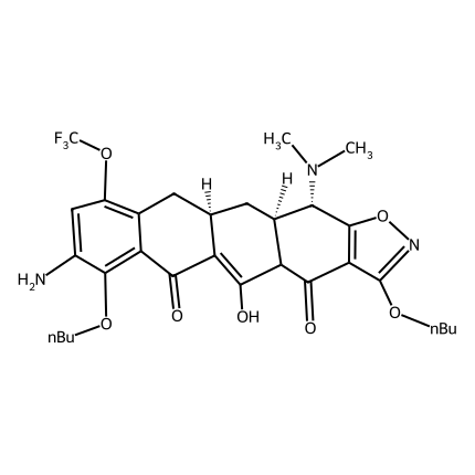 CCCCOc1noc2c1C(=O)C1C(O)=C3C(=O)c4c(c(OC(F)(F)F)cc(N)c4OCCCC)C[C@H]3C[C@H]1[C@@H]2N(C)C